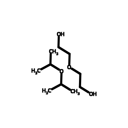 CC(C)OC(C)C.OCCOCCO